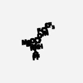 COc1cc(OCc2ncc(C(F)(F)F)cc2F)ccc1-c1[nH]c(C2CC(F)(F)C2)nc1Br